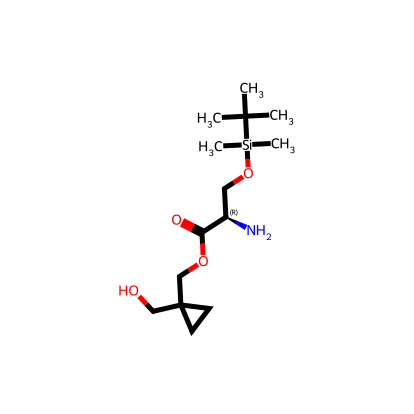 CC(C)(C)[Si](C)(C)OC[C@@H](N)C(=O)OCC1(CO)CC1